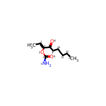 CC=C(OC(N)=O)C(=O)CCCCC